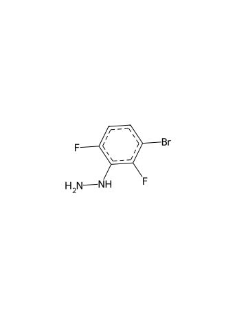 NNc1c(F)ccc(Br)c1F